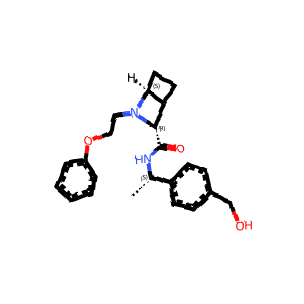 C[C@H](NC(=O)[C@H]1C2CC[C@@H]2N1CCOc1ccccc1)c1ccc(CO)cc1